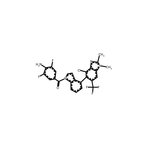 Cc1nc2c(Cl)c(-c3cccc4c3ccn4C(=O)c3cc(F)c(N)c(F)c3)c(C(F)(F)F)cc2n1C